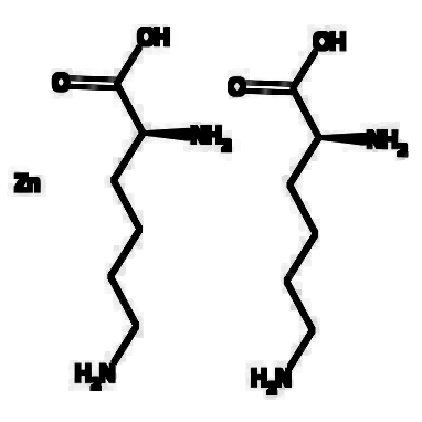 NCCCC[C@H](N)C(=O)O.NCCCC[C@H](N)C(=O)O.[Zn]